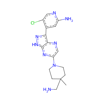 CC1(CN)CCN(c2cnc3c(-c4cc(N)ncc4Cl)n[nH]c3n2)CC1